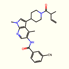 C=CC(C)C(=O)N1CCC(c2cn(C)c3ncc(NC(=O)c4cccc(C#N)c4)c(C)c23)CC1